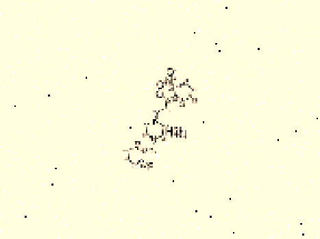 Cl.Cl.O=C(CCN1CCN(Cc2ccccc2F)CC1)c1ccccc1[N+](=O)[O-]